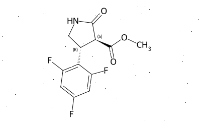 COC(=O)[C@@H]1C(=O)NC[C@H]1c1c(F)cc(F)cc1F